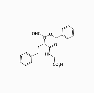 O=CN(OCc1ccccc1)C(CCc1ccccc1)C(=O)NCC(=O)O